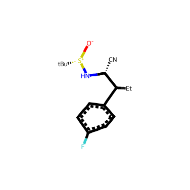 CCC(c1ccc(F)cc1)[C@@H](C#N)N[S@@+]([O-])C(C)(C)C